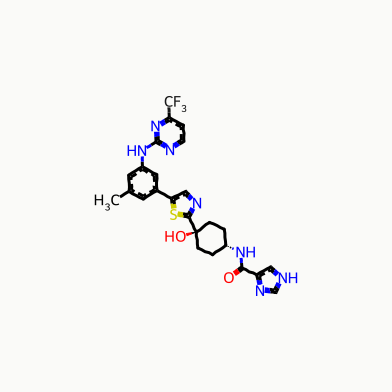 Cc1cc(Nc2nccc(C(F)(F)F)n2)cc(-c2cnc([C@]3(O)CC[C@H](NC(=O)c4c[nH]cn4)CC3)s2)c1